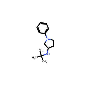 CC(C)(C)NC1CCN(c2cc[c]cc2)C1